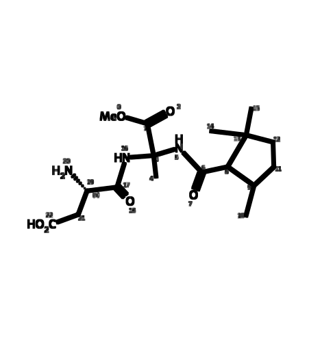 COC(=O)C(C)(NC(=O)C1C(C)CCC1(C)C)NC(=O)[C@@H](N)CC(=O)O